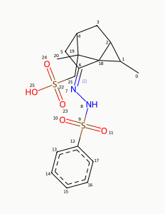 CC1C2CC3C/C(=N/NS(=O)(=O)c4ccccc4)C12C3(C)CS(=O)(=O)O